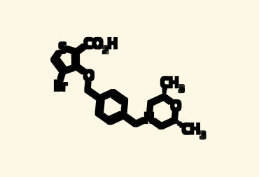 C[C@@H]1CN(Cc2ccc(COc3c(Br)csc3C(=O)O)cc2)C[C@H](C)O1